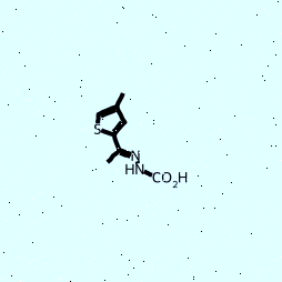 CC(=NNC(=O)O)c1cc(C)cs1